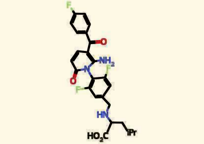 CC(C)CC(NCc1cc(F)c(-n2c(N)c(C(=O)c3ccc(F)cc3)ccc2=O)c(F)c1)C(=O)O